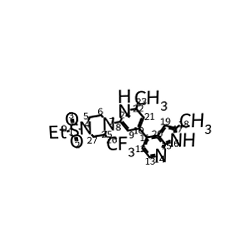 CCS(=O)(=O)N1CCN(C2=CC(c3ccnc4[nH]c(C)cc34)=CC(C)N2)C(C(F)(F)F)C1